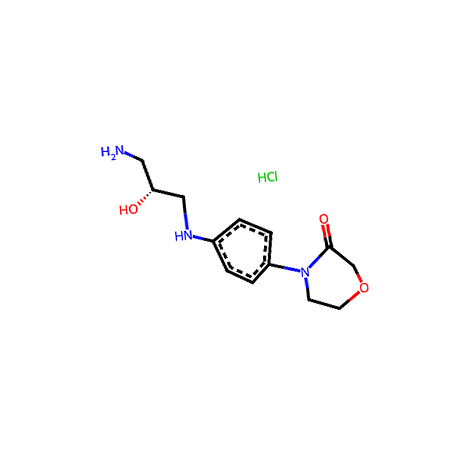 Cl.NC[C@@H](O)CNc1ccc(N2CCOCC2=O)cc1